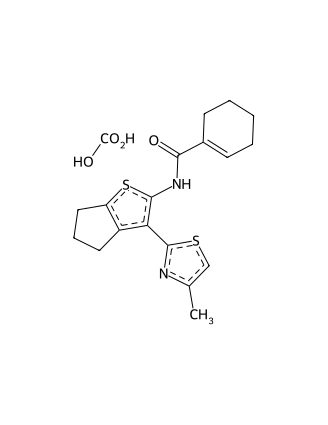 Cc1csc(-c2c(NC(=O)C3=CCCCC3)sc3c2CCC3)n1.O=C(O)O